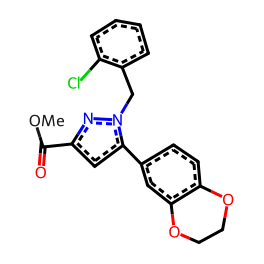 COC(=O)c1cc(-c2ccc3c(c2)OCCO3)n(Cc2ccccc2Cl)n1